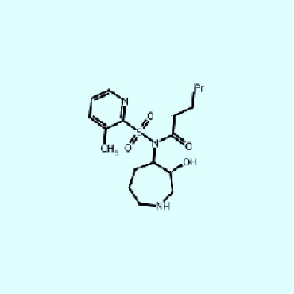 Cc1cccnc1S(=O)(=O)N(C(=O)[CH]CC(C)C)C1CCCNC[C@@H]1O